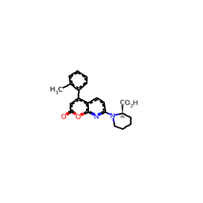 Cc1ccccc1-c1cc(=O)oc2nc(N3CCCC[C@@H]3C(=O)O)ccc12